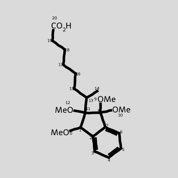 COC1c2ccccc2C(OC)(OC)C1(OC)C(C)CCCCCC(=O)O